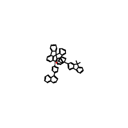 CC1(C)c2ccccc2-c2ccc(-c3cccc(N(c4ccc(-c5cccc6ccccc56)cc4)c4cccc5c4C4(c6ccccc6-c6ccccc64)c4ccccc4-5)c3)cc21